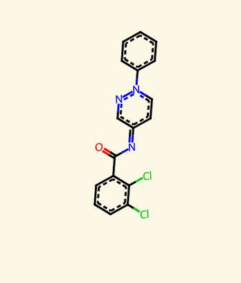 O=C(N=c1ccn(-c2ccccc2)nc1)c1cccc(Cl)c1Cl